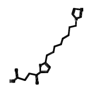 O=C(O)CCC(=O)c1ccc(CCCCCCCCn2ccnc2)s1